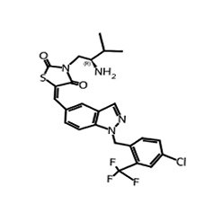 CC(C)[C@@H](N)CN1C(=O)SC(=Cc2ccc3c(cnn3Cc3ccc(Cl)cc3C(F)(F)F)c2)C1=O